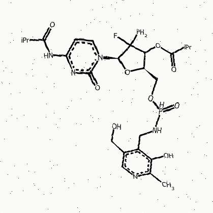 Cc1ncc(CO)c(CN[PH](=O)OC[C@H]2O[C@@H](n3ccc(NC(=O)C(C)C)nc3=O)C(F)(P)C2OC(=O)C(C)C)c1O